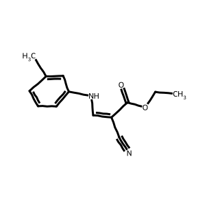 CCOC(=O)/C(C#N)=C\Nc1cccc(C)c1